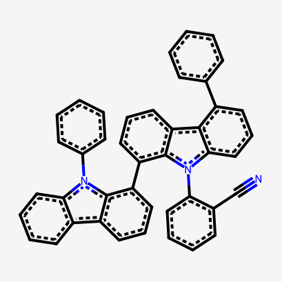 N#Cc1ccccc1-n1c2cccc(-c3ccccc3)c2c2cccc(-c3cccc4c5ccccc5n(-c5ccccc5)c34)c21